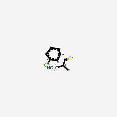 CC(C=S)C(=O)O.Clc1ccccc1